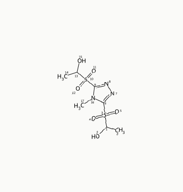 CC(O)S(=O)(=O)c1nnc(S(=O)(=O)C(C)O)n1C